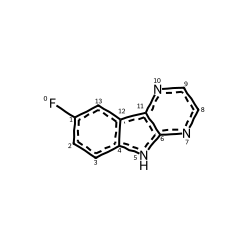 Fc1ccc2[nH]c3nccnc3c2c1